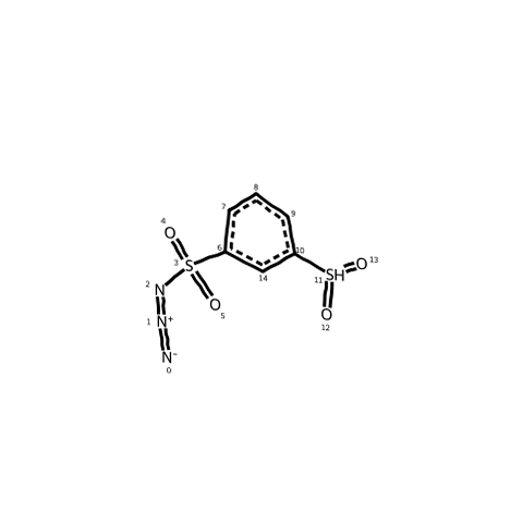 [N-]=[N+]=NS(=O)(=O)c1cccc([SH](=O)=O)c1